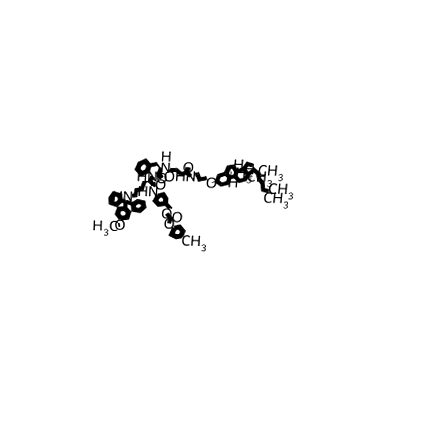 COc1ccc(C(NCCCC[C@@H](NC(=O)[C@@H](Cc2ccccc2)NC(=O)CCC(=O)NCCCO[C@H]2CC[C@@]3(C)C(=CC[C@H]4[C@@H]5CC[C@H]([C@H](C)CCCC(C)C)[C@@]5(C)CC[C@@H]43)C2)C(=O)Nc2ccc(COC(=O)Oc3ccc(C)cc3)cc2)(c2ccccc2)c2ccccc2)cc1